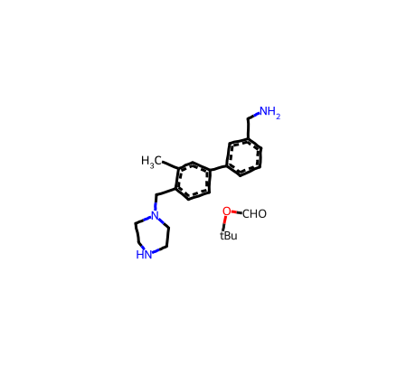 CC(C)(C)OC=O.Cc1cc(-c2cccc(CN)c2)ccc1CN1CCNCC1